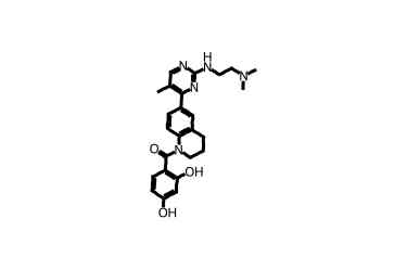 Cc1cnc(NCCN(C)C)nc1-c1ccc2c(c1)CCCN2C(=O)c1ccc(O)cc1O